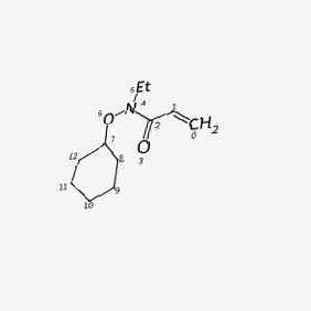 C=CC(=O)N(CC)OC1CCCCC1